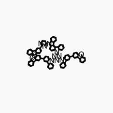 c1ccc2c(c1)oc1ccc(-c3ccc4c(c3)c3ccccc3n4-c3nc(-n4c5ccccc5c5cc(-c6ccc7oc8ccccc8c7c6)ccc54)nc(-n4c5ccccc5c5c6c7ccccc7n(-c7ccnc(-c8ccc9oc%10ccccc%10c9c8)n7)c6ccc54)n3)cc12